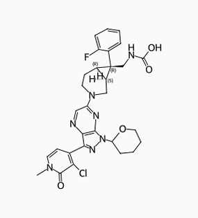 Cn1ccc(-c2nn(C3CCCCO3)c3nc(N4CC[C@@H]5[C@H](C4)[C@@]5(CNC(=O)O)c4ccccc4F)cnc23)c(Cl)c1=O